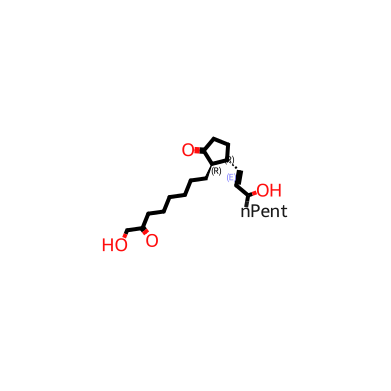 CCCCCC(O)/C=C/[C@H]1CCC(=O)[C@@H]1CCCCCCC(=O)CO